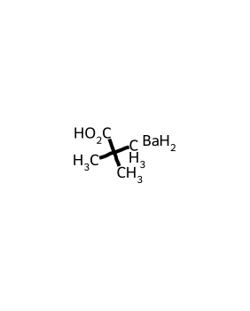 CC(C)(C)C(=O)O.[BaH2]